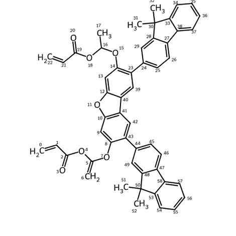 C=CC(=O)OC(=C)Oc1cc2oc3cc(OC(C)OC(=O)C=C)c(-c4ccc5c(c4)C(C)(C)c4ccccc4-5)cc3c2cc1-c1ccc2c(c1)C(C)(C)c1ccccc1-2